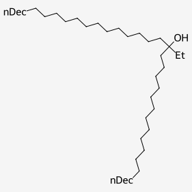 CCCCCCCCCCCCCCCCCCCCCCCC(O)(CC)CCCCCCCCCCCCCCCCCCCCCC